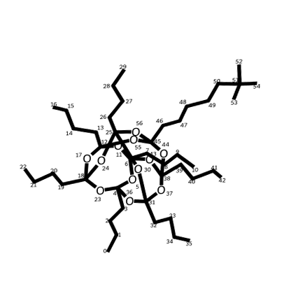 CCCCC12OC3(CCCC)OC4(CCCC)OC(CCCC)(O1)OC1(CCCC)OC(CCCC)(O2)OC(CCCC)(O3)OC(CCCCCC(C)(C)C)(O4)O1